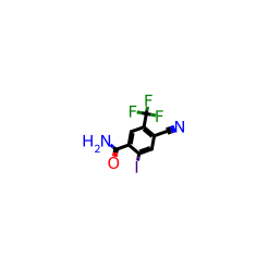 N#Cc1cc(I)c(C(N)=O)cc1C(F)(F)F